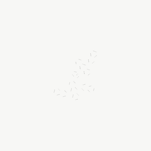 c1ccc2cc(-c3c4ccccc4c(-c4ccc5ccccc5c4)c4cc(-c5ccc(-c6c7ccccc7c(-c7ccc8ccccc8c7)c7ccccc67)s5)ccc34)ccc2c1